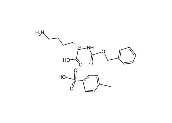 Cc1ccc(S(=O)(=O)O)cc1.NCCCC[C@H](NC(=O)OCc1ccccc1)C(=O)O